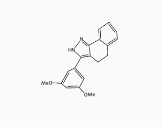 COc1cc(OC)cc(-c2[nH]nc3c2CCc2ccccc2-3)c1